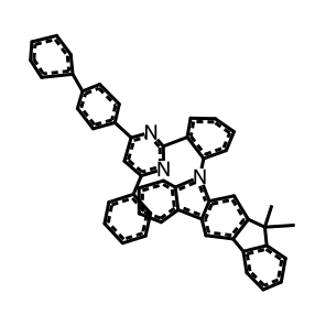 CC1(C)c2ccccc2-c2cc3c4ccccc4n(-c4ccccc4-c4nc(-c5ccccc5)cc(-c5ccc(-c6ccccc6)cc5)n4)c3cc21